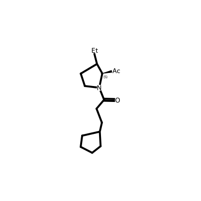 CCC1CCN(C(=O)CCC2CCCC2)[C@@H]1C(C)=O